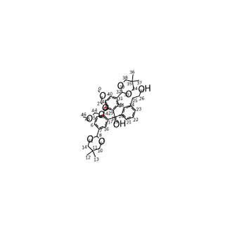 COCOc1ccc(C2OCC(C)(C)CO2)cc1C(O)(c1cccc(CCO)c1)c1cc(C2OCC(C)(C)CO2)ccc1OCOC